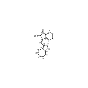 O=C1Nc2ccccc2/C1=C\c1ccc2cccccc1-2